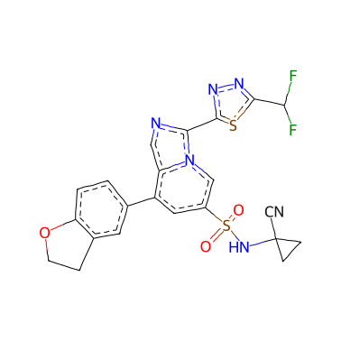 N#CC1(NS(=O)(=O)c2cc(-c3ccc4c(c3)CCO4)c3cnc(-c4nnc(C(F)F)s4)n3c2)CC1